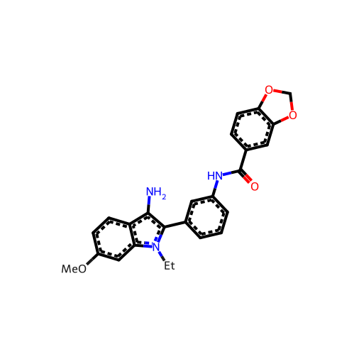 CCn1c(-c2cccc(NC(=O)c3ccc4c(c3)OCO4)c2)c(N)c2ccc(OC)cc21